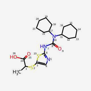 CC(Sc1cnc(NC(=O)N(C2CCCCC2)C2CCCCC2)s1)C(=O)O